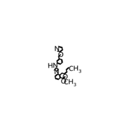 C/C=C\C=C/Cc1c(C(=O)OC)cccc1N1CC(Nc2cccc(COc3cccnc3)c2)C1